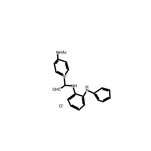 CC(=O)Nc1cc[n+](C(C=O)Nc2ccccc2Nc2ccccc2)cc1.[Cl-]